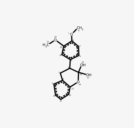 COc1ccc(C2Cc3ccccc3OC2(O)O)cc1OC